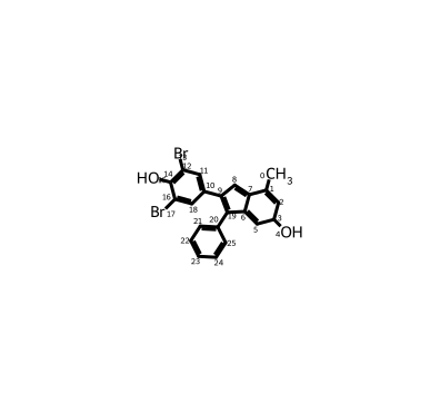 CC1=CC(O)C=C2C1=CC(c1cc(Br)c(O)c(Br)c1)=C2c1ccccc1